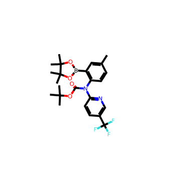 Cc1ccc(N(C(=O)OC(C)(C)C)c2ccc(C(F)(F)F)cn2)c(B2OC(C)(C)C(C)(C)O2)c1